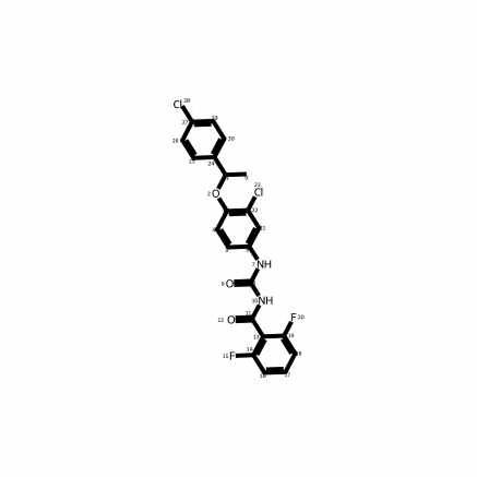 CC(Oc1ccc(NC(=O)NC(=O)c2c(F)cccc2F)cc1Cl)c1ccc(Cl)cc1